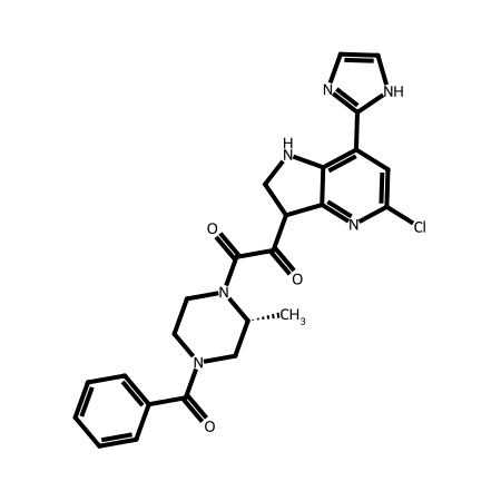 C[C@@H]1CN(C(=O)c2ccccc2)CCN1C(=O)C(=O)C1CNc2c(-c3ncc[nH]3)cc(Cl)nc21